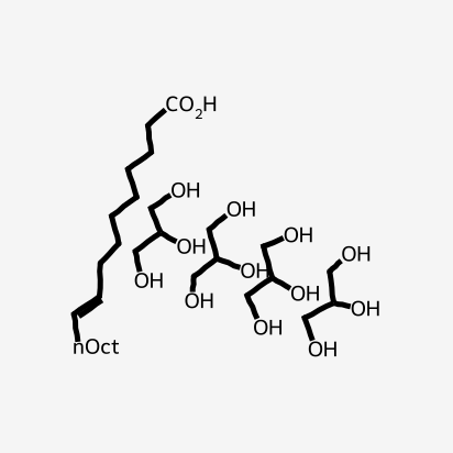 CCCCCCCCC=CCCCCCCCC(=O)O.OCC(O)CO.OCC(O)CO.OCC(O)CO.OCC(O)CO